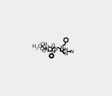 CC(C)(C)OC(=O)N1CCC2(CC1)C(=O)N(Cc1cc3cnc(C#N)nc3n1CCC1CCCCC1)CN2c1ccccc1